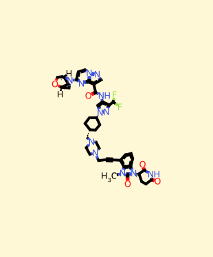 Cn1c(=O)n([C@@H]2CCC(=O)NC2=O)c2cccc(C#CCN3CCN(C[C@H]4CC[C@H](n5cc(NC(=O)c6cnn7ccc(N8C[C@H]9C[C@@H]8CO9)nc67)c(C(F)F)n5)CC4)CC3)c21